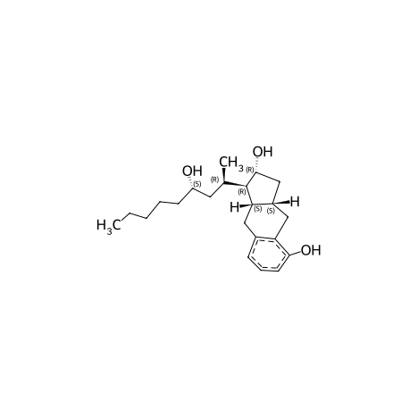 CCCCC[C@H](O)C[C@@H](C)[C@@H]1[C@H]2Cc3cccc(O)c3C[C@H]2C[C@H]1O